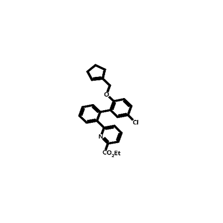 CCOC(=O)c1cccc(-c2ccccc2-c2cc(Cl)ccc2OCC2=CCCC2)n1